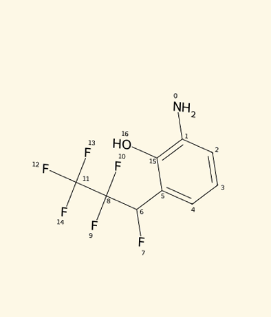 Nc1cccc(C(F)C(F)(F)C(F)(F)F)c1O